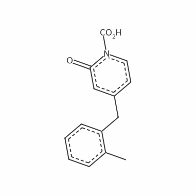 Cc1ccccc1Cc1ccn(C(=O)O)c(=O)c1